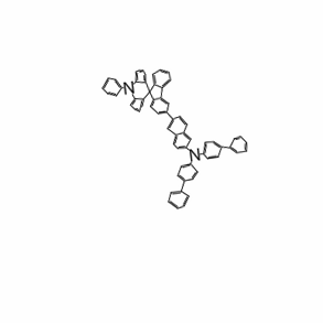 c1ccc(-c2ccc(N(c3ccc(-c4ccccc4)cc3)c3ccc4cc(-c5ccc6c(c5)-c5ccccc5C65c6ccccc6N(c6ccccc6)c6ccccc65)ccc4c3)cc2)cc1